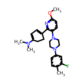 COc1ccc(N2CCN(c3ccc(C)c(F)c3)CC2)c(C2=CC=C(N(C)C)CC2)n1